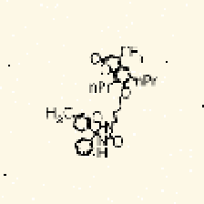 CCCc1cc2c(C(F)(F)F)cc(=O)oc2c(CCC)c1OCCCCN1C(=O)NC(c2ccccc2)(c2ccc(C)cc2)C1=O